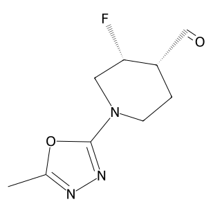 Cc1nnc(N2CC[C@@H](C=O)[C@@H](F)C2)o1